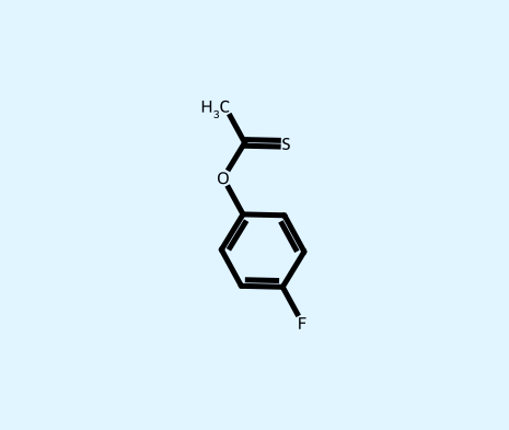 CC(=S)Oc1ccc(F)cc1